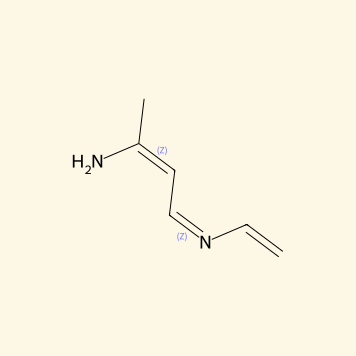 C=C/N=C\C=C(\C)N